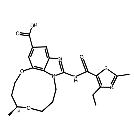 CCc1nc(C)sc1C(=O)Nc1nc2cc(C(=O)O)cc3c2n1CCCO[C@@H](C)CCO3